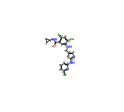 O=C(NC1CC1)c1cc(NCc2cnc(Nc3cccc(Br)n3)s2)c(F)cc1F